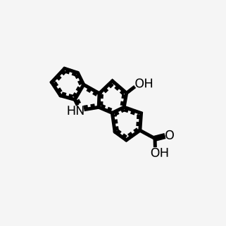 O=C(O)c1ccc2c(c1)c(O)cc1c3ccccc3[nH]c21